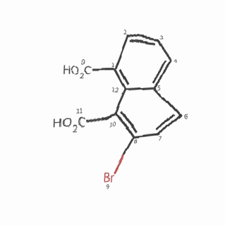 O=C(O)c1cccc2ccc(Br)c(C(=O)O)c12